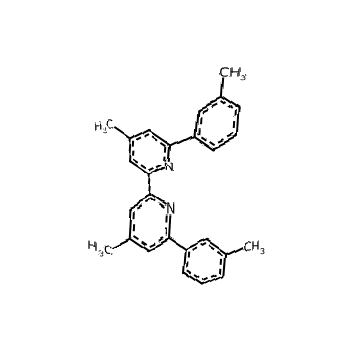 Cc1cccc(-c2cc(C)cc(-c3cc(C)cc(-c4cccc(C)c4)n3)n2)c1